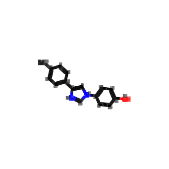 N#Cc1ccc(-c2cn(-c3ccc(O)cc3)cn2)cc1